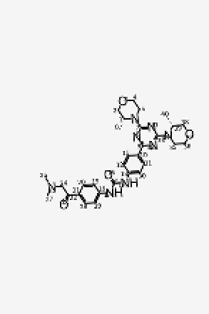 C[C@@H]1COCCN1c1nc(-c2ccc(NC(=O)Nc3ccc(C(=O)CN(C)C)cc3)cc2)nc(N2CCOC[C@H]2C)n1